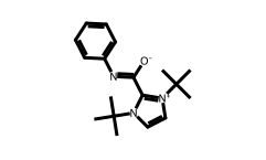 CC(C)(C)n1cc[n+](C(C)(C)C)c1/C([O-])=N/c1ccccc1